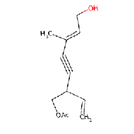 C=CC(C#C/C(C)=C/CO)COC(C)=O